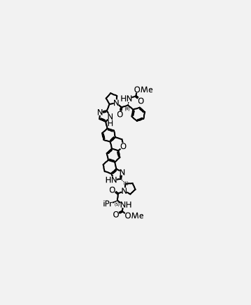 COC(=O)N[C@H](C(=O)N1CCC[C@H]1c1nc2c([nH]1)CCc1cc3c(cc1-2)OCc1cc(-c2cnc(C4CCCN4C(=O)[C@H](NC(=O)OC)c4ccccc4)[nH]2)ccc1-3)C(C)C